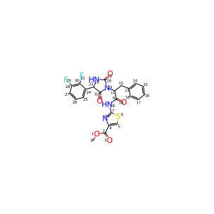 COC(=O)c1csc(NC(=O)C(Cc2ccccc2)N2C(=O)NC(c3cccc(F)c3F)C2=O)n1